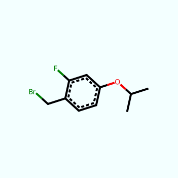 CC(C)Oc1ccc(CBr)c(F)c1